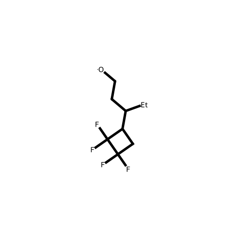 CCC(CC[O])C1CC(F)(F)C1(F)F